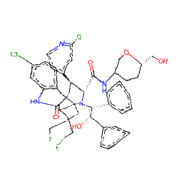 O=C(NC1CC[C@@H](CO)OC1)[C@H]1[C@H](c2ccnc(Cl)c2)C2(C(=O)Nc3cc(Cl)ccc32)C2(CC(CF)(CF)C2)N1[C@H](c1ccccc1)[C@@H](O)c1ccccc1